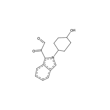 O=CC(=O)c1c2ccccc2cn1C1CCC(O)CC1